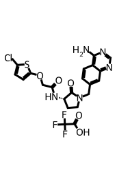 Nc1ncnc2cc(CN3CC[C@H](NC(=O)COc4ccc(Cl)s4)C3=O)ccc12.O=C(O)C(F)(F)F